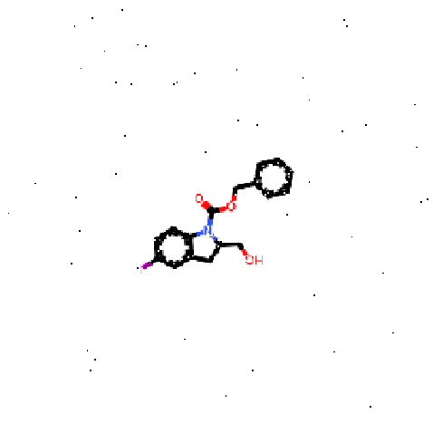 O=C(OCc1ccccc1)N1c2ccc(I)cc2CC1CO